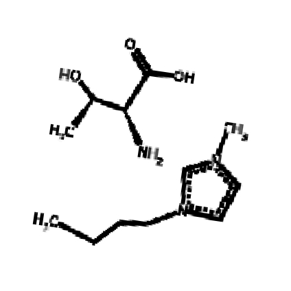 CCCC[n+]1ccn(C)c1.C[C@@H](O)[C@H](N)C(=O)O